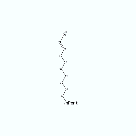 CCCCCCCCCCCCC=C[P]